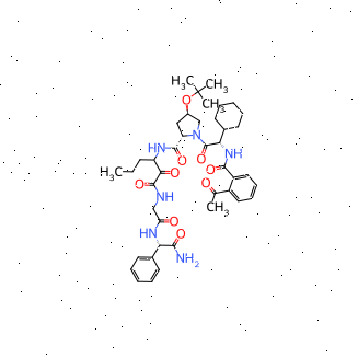 CCCC(NC(=O)[C@@H]1C[C@@H](OC(C)(C)C)CN1C(=O)[C@@H](NC(=O)c1ccccc1C(C)=O)C1CCCCC1)C(=O)C(=O)NCC(=O)N[C@H](C(N)=O)c1ccccc1